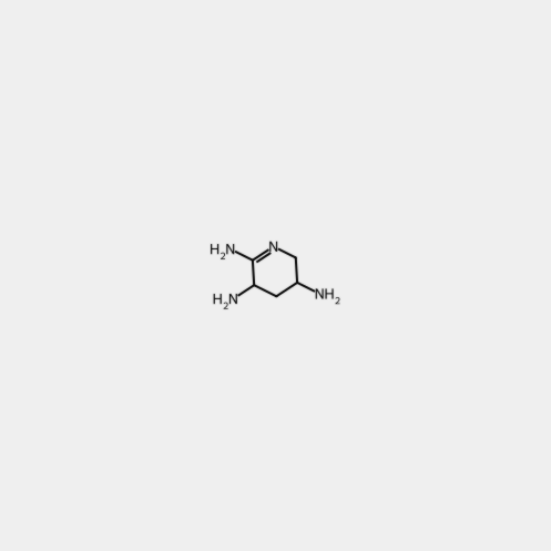 NC1=NCC(N)CC1N